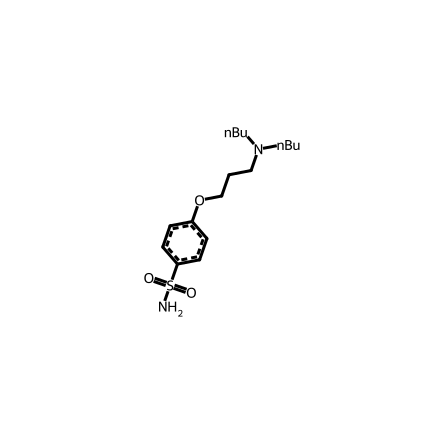 CCCCN(CCCC)CCCOc1ccc(S(N)(=O)=O)cc1